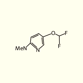 CNc1ccc(OC(F)F)cn1